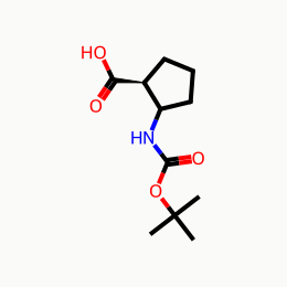 CC(C)(C)OC(=O)NC1CCC[C@@H]1C(=O)O